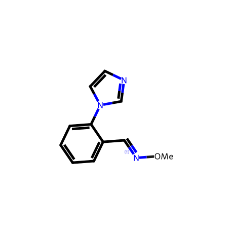 CO/N=C/c1ccccc1-n1ccnc1